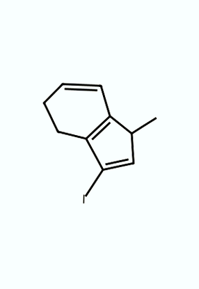 CC1C=C(I)C2=C1C=CCC2